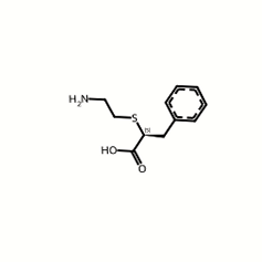 NCCS[C@@H](Cc1ccccc1)C(=O)O